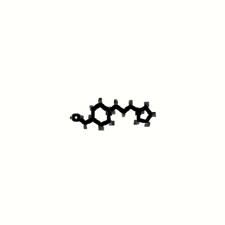 [O]CC1CCN(CCCN2CCCC2)CC1